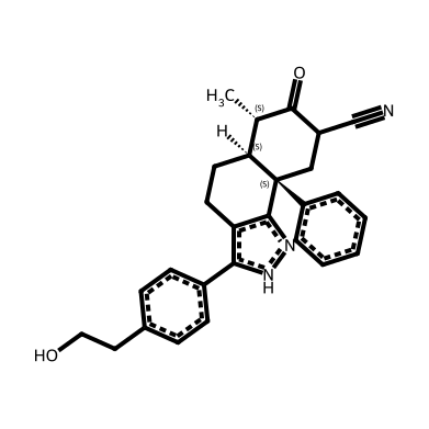 C[C@@H]1C(=O)C(C#N)C[C@]2(c3ccccc3)c3n[nH]c(-c4ccc(CCO)cc4)c3CC[C@@H]12